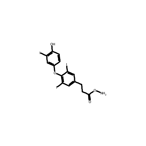 NOC(=O)CCc1cc(I)c(Oc2ccc(O)c(I)c2)c(I)c1